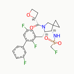 O=C([C@H]1CCO1)N1CC2(CC2)[C@H](NS(=O)(=O)CF)[C@@H]1Cc1cc(F)cc(-c2cccc(F)c2)c1F